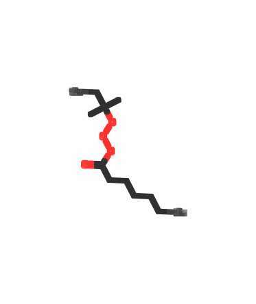 CC(C)(C)CCCCCC(=O)OOOC(C)(C)CC(C)(C)C